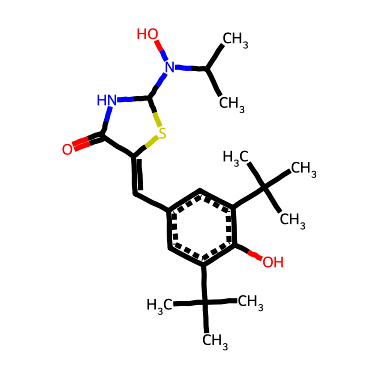 CC(C)N(O)C1NC(=O)C(=Cc2cc(C(C)(C)C)c(O)c(C(C)(C)C)c2)S1